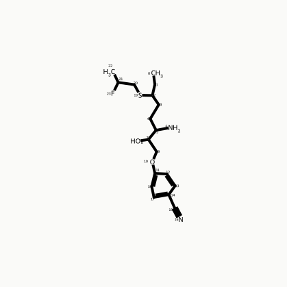 CCC(CCC(N)C(O)COc1ccc(C#N)cc1)SCC(C)F